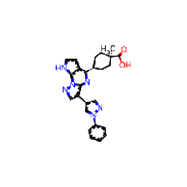 C[C@]1(C(=O)O)CC[C@@H](c2nc3c(-c4cnn(-c5ccccc5)c4)cnn3c3[nH]ccc32)CC1